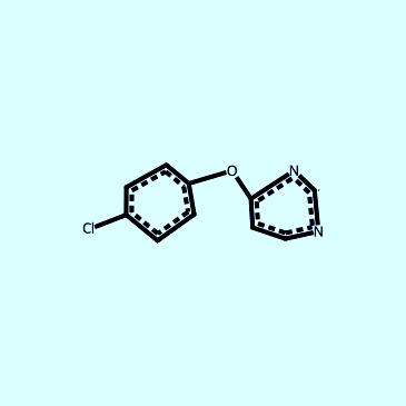 Clc1ccc(Oc2ccn[c]n2)cc1